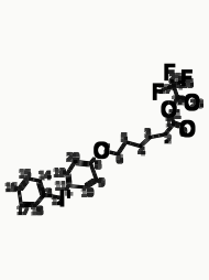 O=C(CCCCCOc1ccc([I+]c2ccccc2)cc1)OC(=O)C(F)(F)F